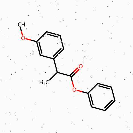 COc1cccc(C(C)C(=O)Oc2ccccc2)c1